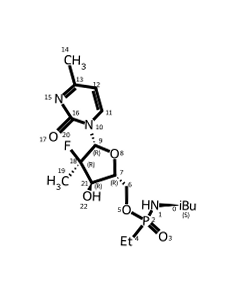 CC[C@H](C)NP(=O)(CC)OC[C@H]1O[C@@H](n2ccc(C)nc2=O)[C@](C)(F)[C@@H]1O